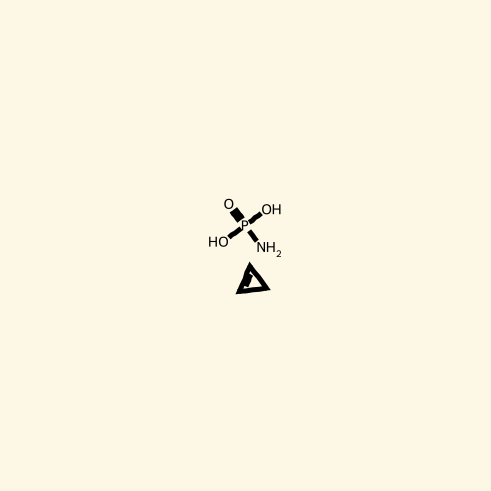 C1=CC1.NP(=O)(O)O